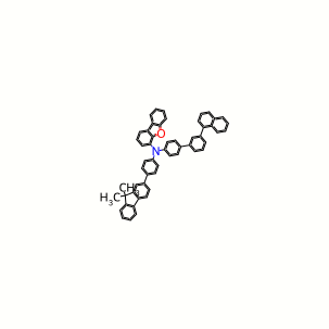 CC1(C)c2ccccc2-c2ccc(-c3ccc(N(c4ccc(-c5cccc(-c6cccc7ccccc67)c5)cc4)c4cccc5c4oc4ccccc45)cc3)cc21